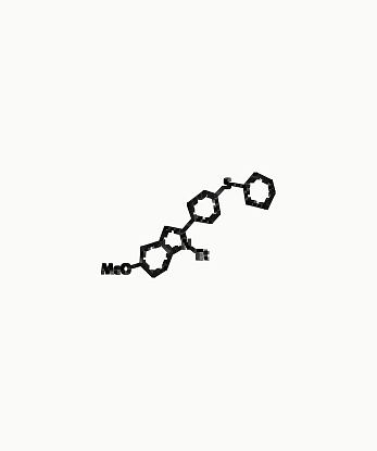 CCn1c(-c2ccc(Sc3ccccc3)cc2)cc2cc(OC)ccc21